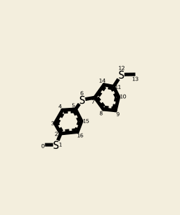 CSc1ccc(Sc2cccc(SC)c2)cc1